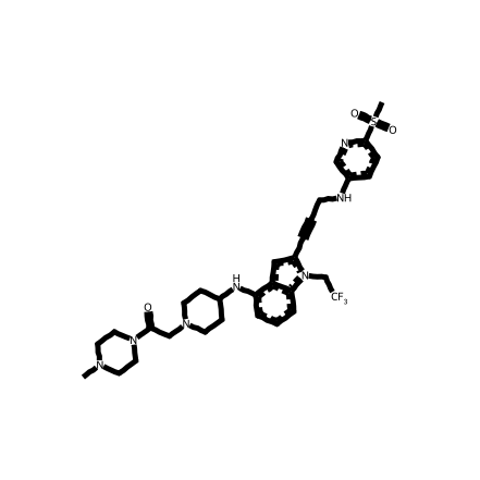 CN1CCN(C(=O)CN2CCC(Nc3cccc4c3cc(C#CCNc3ccc(S(C)(=O)=O)nc3)n4CC(F)(F)F)CC2)CC1